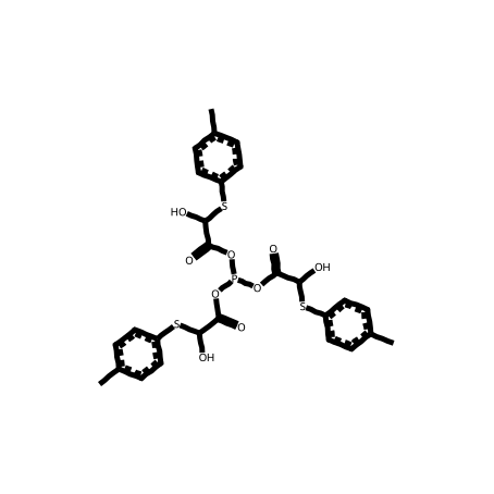 Cc1ccc(SC(O)C(=O)OP(OC(=O)C(O)Sc2ccc(C)cc2)OC(=O)C(O)Sc2ccc(C)cc2)cc1